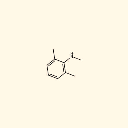 CNc1c(C)c[c]cc1C